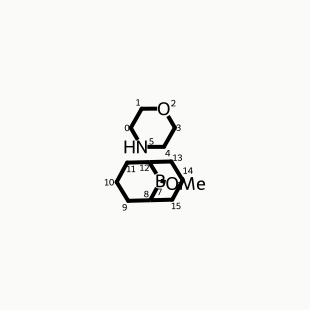 C1COCCN1.COB1C2CCCC1CCC2